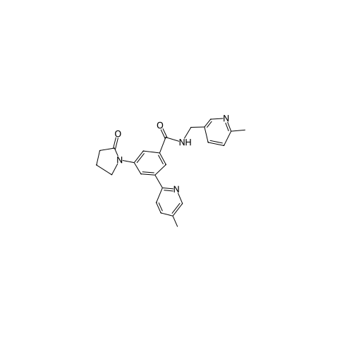 Cc1ccc(-c2cc(C(=O)NCc3ccc(C)nc3)cc(N3CCCC3=O)c2)nc1